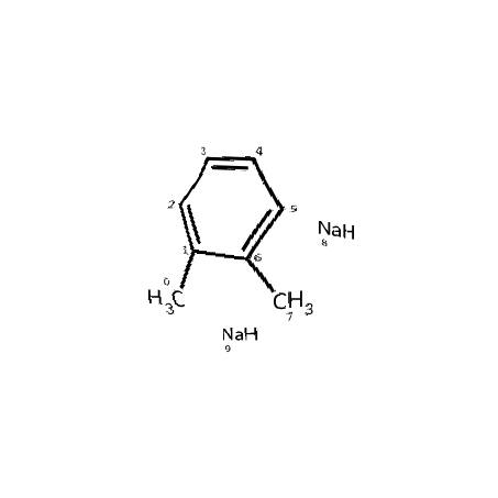 Cc1ccccc1C.[NaH].[NaH]